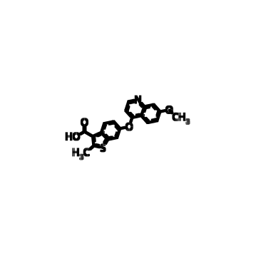 COc1ccc2c(Oc3ccc4c(C(=O)O)c(C)sc4c3)ccnc2c1